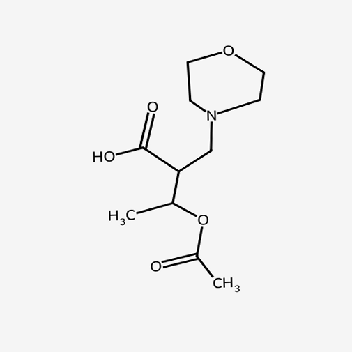 CC(=O)OC(C)C(CN1CCOCC1)C(=O)O